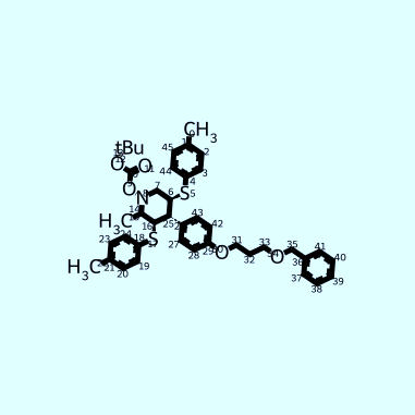 Cc1ccc(S[C@@H]2CN(OC(=O)OC(C)(C)C)C(C)[C@H](Sc3ccc(C)cc3)[C@H]2c2ccc(OCCCOCc3ccccc3)cc2)cc1